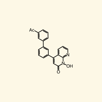 CC(=O)c1cccc(-c2cccc(-c3cc(=O)n(O)c4ncccc34)c2)c1